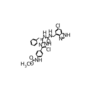 COC(=O)Nc1ccc(-c2nc([C@H](Cc3ccccc3)NC(=O)NCc3cc(Cl)cc4[nH]cnc34)[nH]c2Cl)cc1